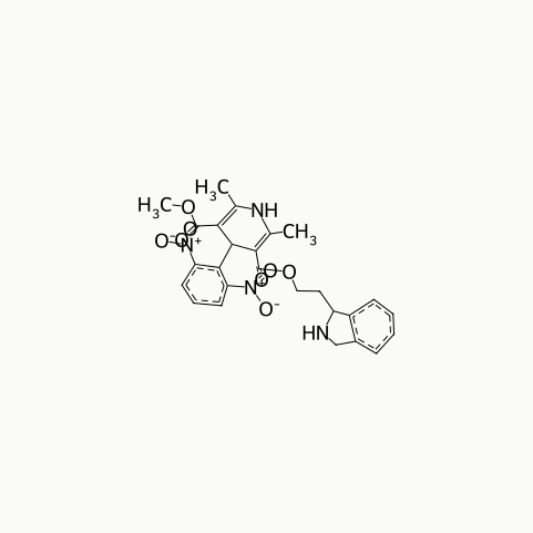 COC(=O)C1=C(C)NC(C)=C(C(=O)OCCC2NCc3ccccc32)C1c1c([N+](=O)[O-])cccc1[N+](=O)[O-]